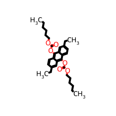 CCCCCCOC(=O)Oc1c2ccc(CC)cc2c(OC(=O)OCCCCCC)c2ccc(CC)cc12